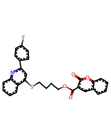 O=C(OCCCCSc1cc(-c2ccc(F)cc2)nc2ccccc12)c1cc2ccccc2oc1=O